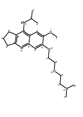 COc1cc2c(NC(C)C)c3c(nc2cc1OCCOCCN(C)C)CCC3